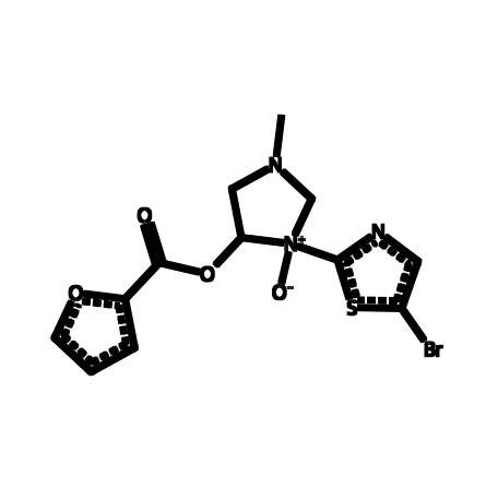 CN1CC(OC(=O)c2ccco2)[N+]([O-])(c2ncc(Br)s2)C1